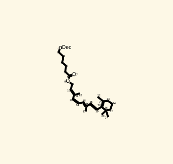 CCCCCCCCCCCCCCCC(=O)OC/C=C(C)/C=C\C=C(C)\C=C\C1=C(C)CCCC1(C)C